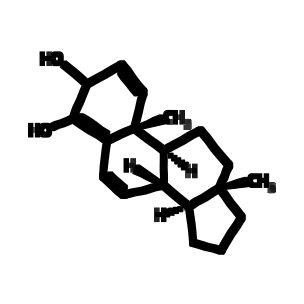 C[C@@]12CCC[C@H]1[C@@H]1C=CC3=C(O)C(O)C=C[C@]3(C)[C@H]1CC2